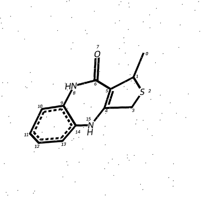 CC1SCC2=C1C(=O)Nc1ccccc1N2